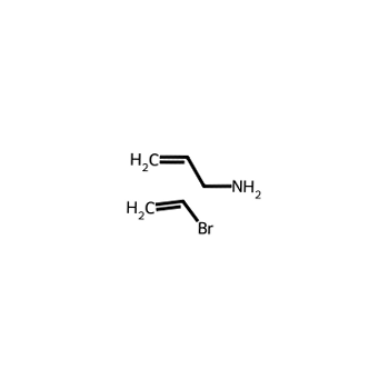 C=CBr.C=CCN